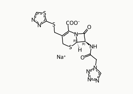 O=C(Cn1cnnn1)N[C@@H]1C(=O)N2C(C(=O)[O-])=C(CSc3nncs3)CS[C@H]12.[Na+]